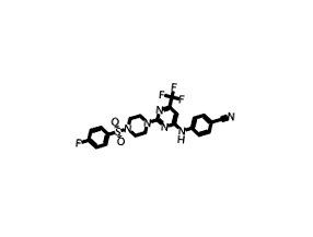 N#Cc1ccc(Nc2cc(C(F)(F)F)nc(N3CCN(S(=O)(=O)c4ccc(F)cc4)CC3)n2)cc1